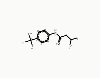 CC(Br)CC(=O)Nc1ccc(C(F)(F)F)cc1